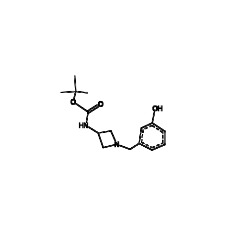 CC(C)(C)OC(=O)NC1CN(Cc2cccc(O)c2)C1